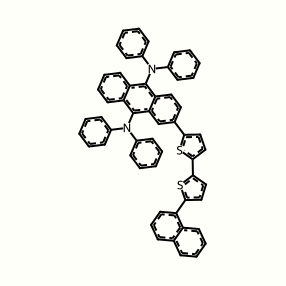 c1ccc(N(c2ccccc2)c2c3ccccc3c(N(c3ccccc3)c3ccccc3)c3cc(-c4ccc(-c5ccc(-c6cccc7ccccc67)s5)s4)ccc23)cc1